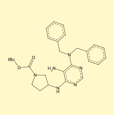 CC(C)(C)OC(=O)N1CCC(Nc2ncnc(N(Cc3ccccc3)Cc3ccccc3)c2N)C1